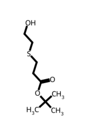 CC(C)(C)OC(=O)CCSCCO